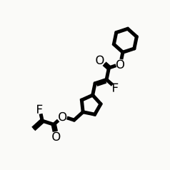 C=C(F)C(=O)OCC1CCC(/C=C(\F)C(=O)OC2CCCCC2)C1